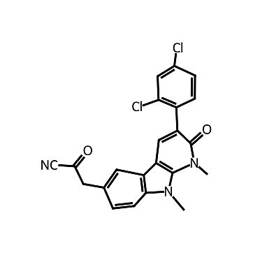 Cn1c(=O)c(-c2ccc(Cl)cc2Cl)cc2c3cc(CC(=O)C#N)ccc3n(C)c21